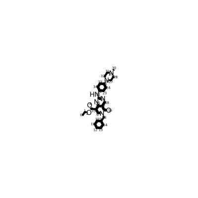 CCOC(=O)c1cn(Cc2ccccc2)c(=O)c2cnc(Nc3ccc(N4CCN(C)CC4)cc3)nc12